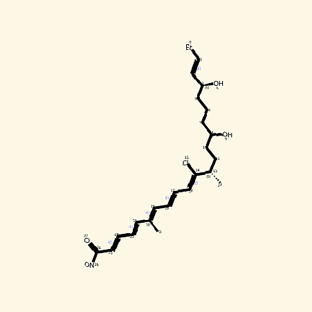 CC/C=C/[C@@H](O)CCCC(O)CC[C@H](C)/C(Cl)=C/C=C/C=C(C)/C=C/C=C/C(=O)N=O